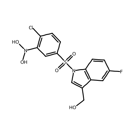 O=S(=O)(c1ccc(Cl)c(N(O)O)c1)n1cc(CO)c2cc(F)ccc21